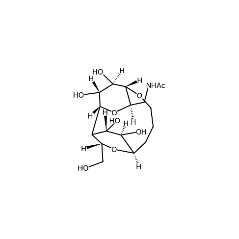 CC(=O)NC[C@H]1O[C@@H]2C3[C@@H](CO)O[C@H](CCCO[C@H]1[C@H](O)[C@H]2O)[C@H](O)[C@H]3O